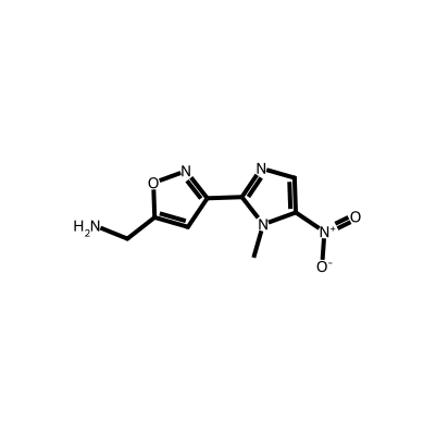 Cn1c([N+](=O)[O-])cnc1-c1cc(CN)on1